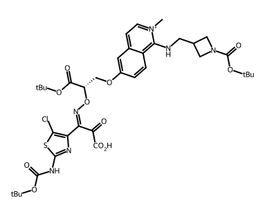 C[n+]1ccc2cc(OC[C@H](O/N=C(\C(=O)C(=O)O)c3nc(NC(=O)OC(C)(C)C)sc3Cl)C(=O)OC(C)(C)C)ccc2c1NCC1CN(C(=O)OC(C)(C)C)C1